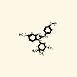 CC(C)Oc1ccc(Nc2nc3cc(C(=O)O)ccc3n2C2C[C@H](C)CC(C)(C)C2)cc1